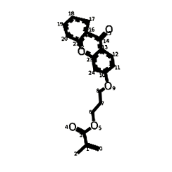 C=C(C)C(=O)OCCCOc1ccc2c(=O)c3ccccc3oc2c1